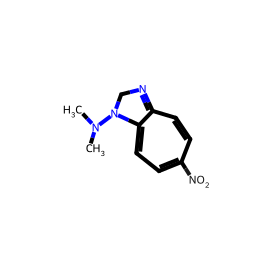 CN(C)N1CN=C2C=CC([N+](=O)[O-])=CC=C21